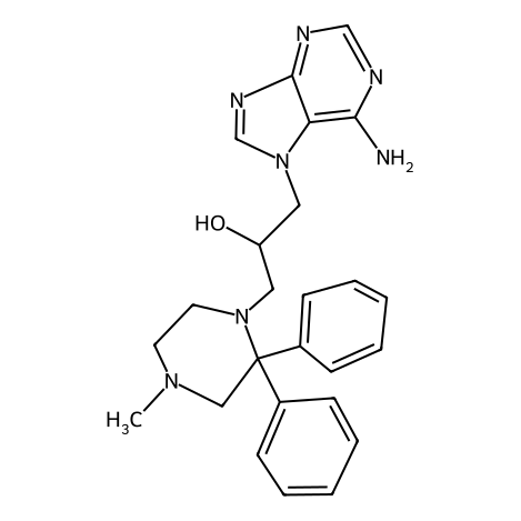 CN1CCN(CC(O)Cn2cnc3ncnc(N)c32)C(c2ccccc2)(c2ccccc2)C1